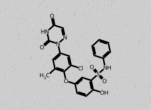 Cc1cc(-n2ncc(=O)[nH]c2=O)cc(Cl)c1Oc1ccc(O)c(S(=O)(=O)Nc2ccccc2)c1